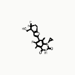 Cc1c(F)c(-c2cc3c(s2)CCC(F)(F)C3CO)c(C)c2c1c(=O)[nH]c(=O)n2C1CC1